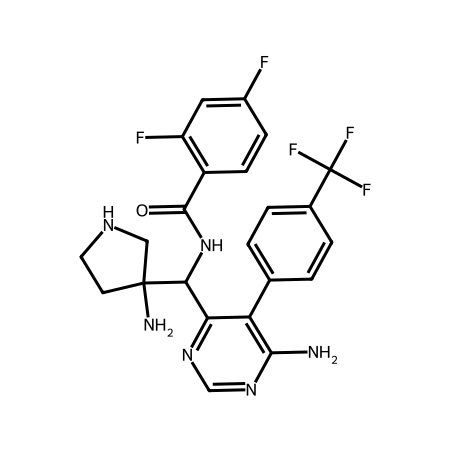 Nc1ncnc(C(NC(=O)c2ccc(F)cc2F)C2(N)CCNC2)c1-c1ccc(C(F)(F)F)cc1